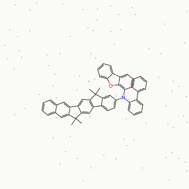 CC1(C)c2cc(N(c3ccccc3-c3ccccc3)c3cccc4c3oc3ccccc34)ccc2-c2cc3c(cc21)-c1cc2ccccc2cc1C3(C)C